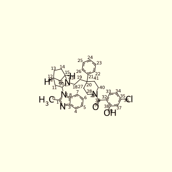 Cc1nc2ccccc2n1C1C[C@@H]2CC[C@@H](C2)N1CCC1(c2ccccc2)CCN(C(=O)c2ccc(Cl)cc2O)CC1